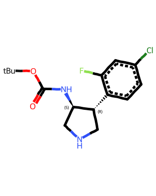 CC(C)(C)OC(=O)N[C@@H]1CNC[C@H]1c1ccc(Cl)cc1F